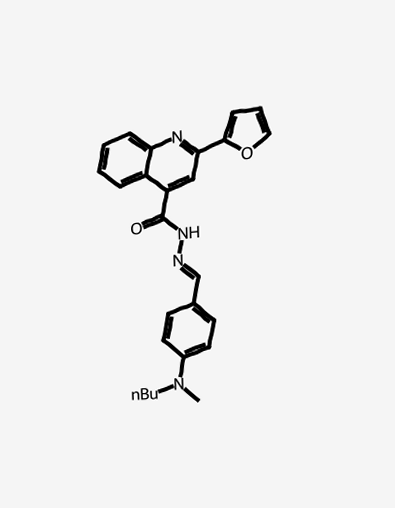 CCCCN(C)c1ccc(/C=N/NC(=O)c2cc(-c3ccco3)nc3ccccc23)cc1